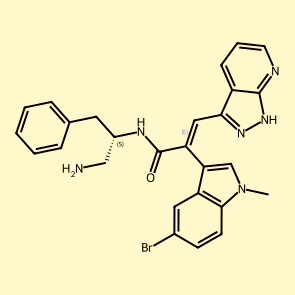 Cn1cc(/C(=C\c2n[nH]c3ncccc23)C(=O)N[C@H](CN)Cc2ccccc2)c2cc(Br)ccc21